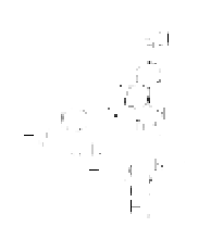 COc1ccc2c(c1)nc(NCc1ccc(C)c(C)c1)n1nc(C3CCCCN(C(=O)OC(C)(C)C)C3)nc21